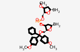 B[C@H]1CC(OC)[C@@H](CO[PH](=O)OC2C[C@H](B)O[C@@H]2COC(c2ccccc2)(c2ccc(OC)cc2)c2ccc(OC)cc2)O1